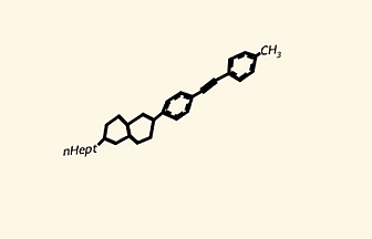 CCCCCCCC1CCC2CC(c3ccc(C#Cc4ccc(C)cc4)cc3)CCC2C1